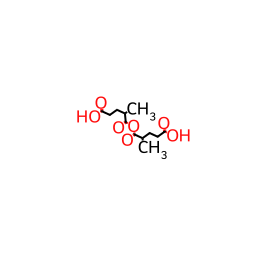 CC(CCC(=O)O)C(=O)OC(=O)C(C)CCC(=O)O